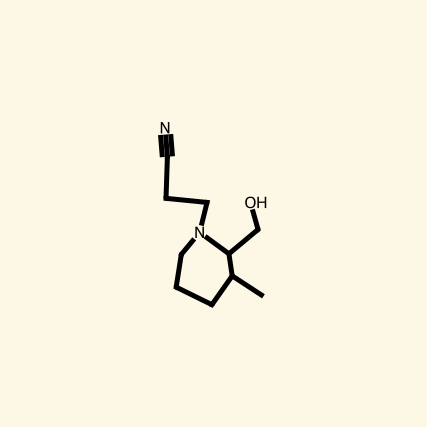 CC1CCCN(CCC#N)C1CO